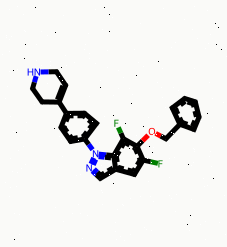 Fc1cc2cnn(-c3ccc(C4=CCNCC4)cc3)c2c(F)c1OCc1ccccc1